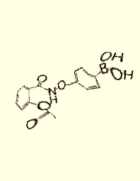 CC(=O)Oc1ccccc1C(=O)NOCc1ccc(B(O)O)cc1